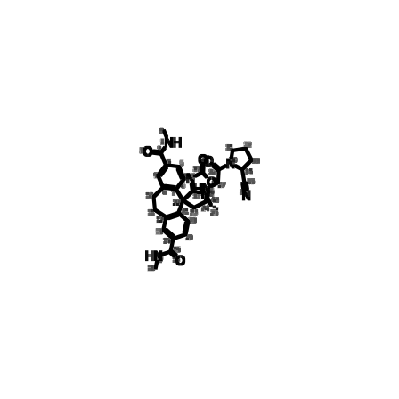 CNC(=O)c1ccc2c(c1)CCc1cc(C(=O)NC)ccc1C2(C[C@@H](C)NCC(=O)N1CCCC1C#N)c1nc(=O)on1C